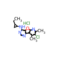 CCC1CC1Nc1ncnc2c1oc1nc(C)c(Cl)c(C)c12.Cl